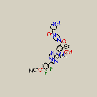 CCc1cc(Nc2nccn3c(-c4ccc(OCC#N)c(F)c4F)cnc23)ccc1C(=O)N1CCN(C(=O)C2CCNCC2)CC1.O=CO